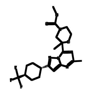 COC(=O)N1CCOC(C)(c2cc(C)nc3cc([C@H]4CC[C@H](C(F)(F)F)CC4)nn23)C1